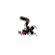 CC1(C)OCC(CN(CC2COC(C)(C)O2)C(=O)c2c(I)c(NC(=O)CCC(=O)N3CCN(S(=O)(=O)C(F)(F)C(F)(F)C(F)(F)C(F)(F)C(F)(F)C(F)(F)C(F)(F)C(F)(F)F)CC3)c(I)c(C(=O)N(CC3COC(C)(C)O3)CC3COC(C)(C)O3)c2I)O1